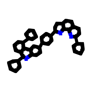 c1ccc(-c2ccc3ccc4ccc(-c5ccc(-c6ccc7nc(-c8ccccc8)c8cccc(-c9ccccc9)c8c7c6)cc5)nc4c3n2)cc1